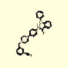 N#Cc1cccc(CN2CCN(c3ccc(NC(=O)c4ccccc4Oc4ccccc4)cc3)CC2)c1